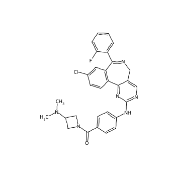 CN(C)C1CN(C(=O)c2ccc(Nc3ncc4c(n3)-c3ccc(Cl)cc3C(c3ccccc3F)=NC4)cc2)C1